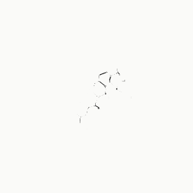 CC(C)CC(O)C(=O)N(C)Cc1c(N)ccc(C(=O)O)c1C(C)(C)C